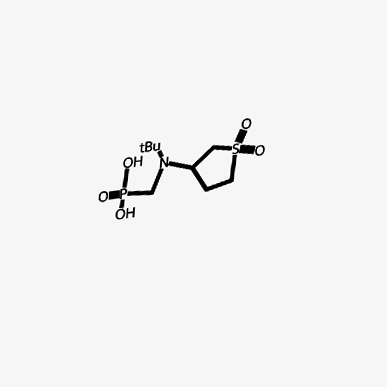 CC(C)(C)N(CP(=O)(O)O)C1CCS(=O)(=O)C1